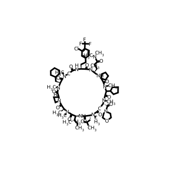 CC[C@H](C)[C@@H]1NC(=O)[C@@H](CC(C)C)N(C)C(=O)C[C@@H](C(=O)N2CCOCC2)N(C)C(=O)C(C2CCCC2)N(C)C(=O)C2(CCCC2)N[C@H](CCC(=O)N(C)C)N(C)C(=O)[C@H](CCc2ccc(C(F)(F)F)c(Cl)c2)NC(=O)CN(C)C(=O)[C@H](CC2CCCCC2)N(C)C(=O)[C@@H]2CCN2C(=O)[C@H](C)N(C)C1=O